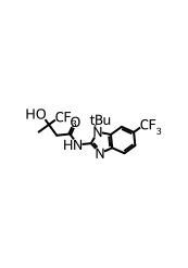 CC(C)(C)n1c(NC(=O)CC(C)(O)C(F)(F)F)nc2ccc(C(F)(F)F)cc21